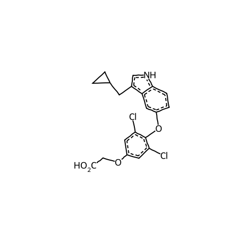 O=C(O)COc1cc(Cl)c(Oc2ccc3[nH]cc(CC4CC4)c3c2)c(Cl)c1